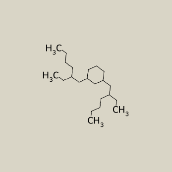 CCCCC(CC)CC1CCCC(CC(CC)CCCC)C1